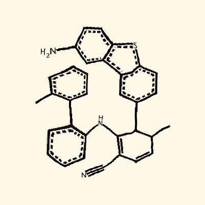 Cc1ccccc1-c1ccccc1NC1=C(C#N)C=CC(C)C1c1ccc2sc3ccc(N)cc3c2c1